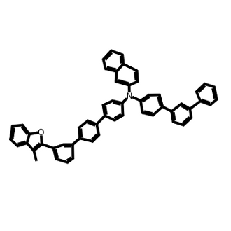 Cc1c(-c2cccc(-c3ccc(-c4ccc(N(c5ccc(-c6cccc(-c7ccccc7)c6)cc5)c5ccc6ccccc6c5)cc4)cc3)c2)oc2ccccc12